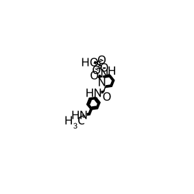 CNCc1ccc(NC(=O)[C@@H]2CC[C@@H]3CN2C(=O)N3OS(=O)(=O)O)cc1